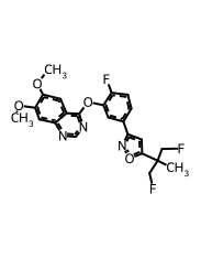 COc1cc2ncnc(Oc3cc(-c4cc(C(C)(CF)CF)on4)ccc3F)c2cc1OC